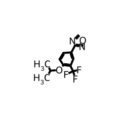 CC(C)Oc1ccc(-c2ncon2)cc1C(F)(F)F